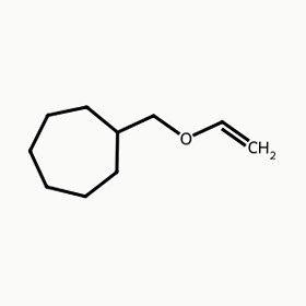 C=COCC1CCCCCC1